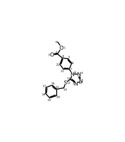 COC(=O)c1ccc(-n2nnnc2SCc2ccccc2)cc1